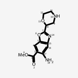 COC(=O)c1cc2oc(C3CNCCO3)nc2cc1N